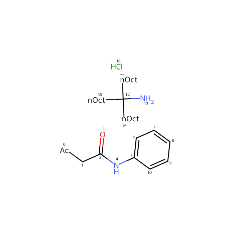 CC(=O)CC(=O)Nc1ccccc1.CCCCCCCCC(N)(CCCCCCCC)CCCCCCCC.Cl